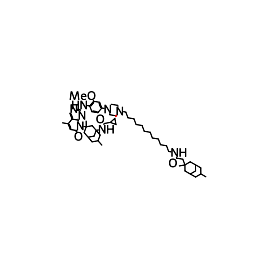 COc1cc(N2CCN(CCCCCCCCCCCCNC(=O)CC3(C)CC4CC(C)CC(C4)C3)CC2)ccc1Nc1ncc2c(C)cc(=O)n(C3(C)CC4CC(C)CC(NC(=O)C5CC5)(C4)C3)c2n1